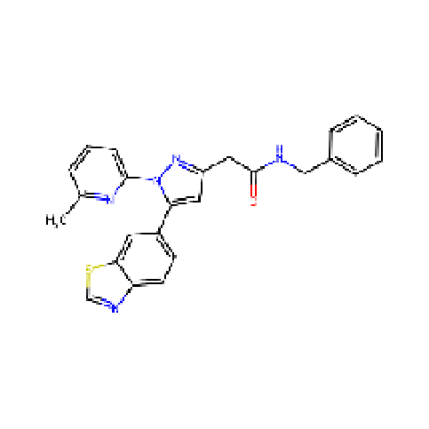 Cc1cccc(-n2nc(CC(=O)NCc3ccccc3)cc2-c2ccc3ncsc3c2)n1